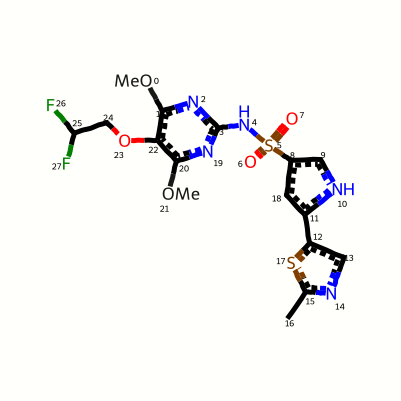 COc1nc(NS(=O)(=O)c2c[nH]c(-c3cnc(C)s3)c2)nc(OC)c1OCC(F)F